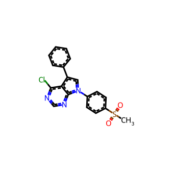 CS(=O)(=O)c1ccc(-n2cc(-c3ccccc3)c3c(Cl)ncnc32)cc1